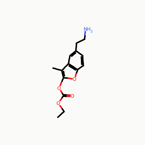 CCOC(=O)Oc1oc2ccc(CCN)cc2c1C